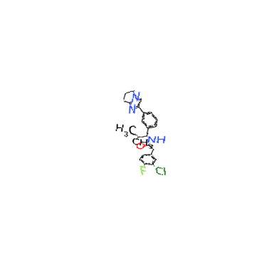 CC(C)C(NC(=O)Cc1ccc(F)c(Cl)c1)c1cccc(-c2cn3c(n2)CCC3)c1